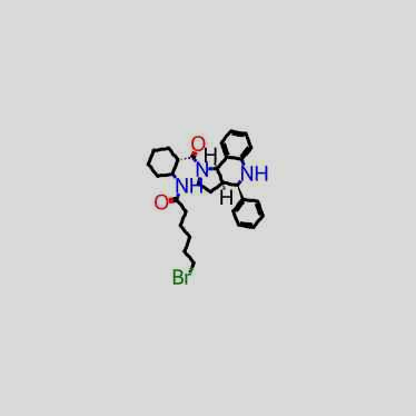 O=C(CCCCCBr)NC1CCCC[C@@H]1C(=O)N1CC[C@@H]2[C@H](c3ccccc3)Nc3ccccc3[C@@H]21